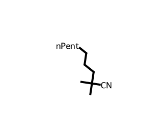 CCCCCCCCC(C)(C)C#N